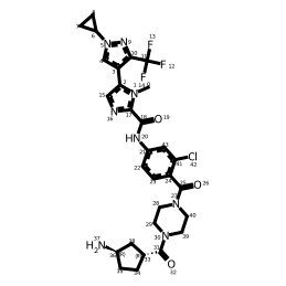 Cn1c(-c2cn(C3CC3)nc2C(F)(F)F)cnc1C(=O)Nc1ccc(C(=O)N2CCN(C(=O)[C@@H]3CC[C@@H](N)C3)CC2)c(Cl)c1